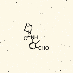 Cc1c(C=O)cccc1NC(=O)N1CCOCC1